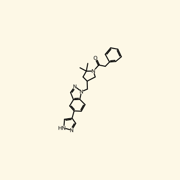 CC1(C)CC(Cn2ncc3cc(-c4cn[nH]c4)ccc32)CN1C(=O)Cc1ccccc1